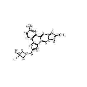 Cc1nc2cc(-c3nc(C#N)ccc3-c3cnc(CC4CC(F)(F)C4)o3)ccn2n1